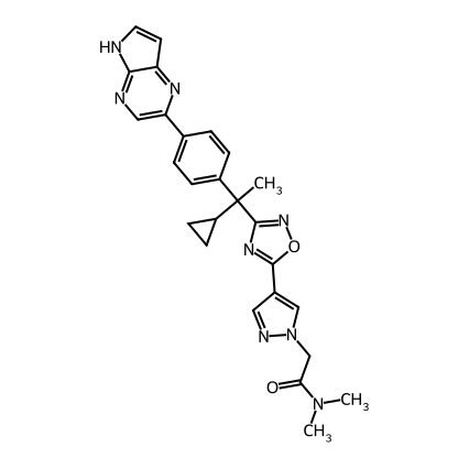 CN(C)C(=O)Cn1cc(-c2nc(C(C)(c3ccc(-c4cnc5[nH]ccc5n4)cc3)C3CC3)no2)cn1